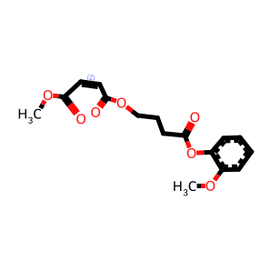 COC(=O)/C=C\C(=O)OCCCC(=O)Oc1ccccc1OC